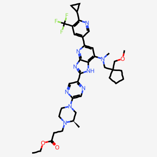 CCOC(=O)CCN1CCN(c2cnc(-c3nc4nc(-c5cnc(C6CC6)c(C(F)(F)F)c5)cc(N(C)CC5(COC)CCCC5)c4[nH]3)cn2)C[C@H]1C